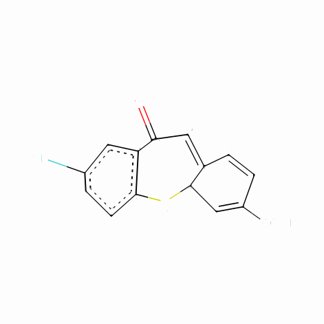 O=C(O)C1=CC2Sc3ccc(F)cc3C(=O)C=C2C=C1